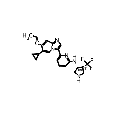 CCOc1cc2ncc(-c3cccc(N[C@H]4CNC[C@@H]4C(F)(F)F)n3)n2cc1C1CC1